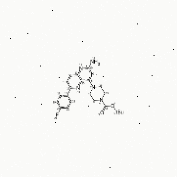 CC(C)(C)OC(=O)N1CCN(c2nc(N)nc3ccc(-c4ccc(F)cc4)nc23)CC1